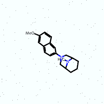 COc1ccc2cc(N3CC4CCCC(C3)N4C)ccc2c1